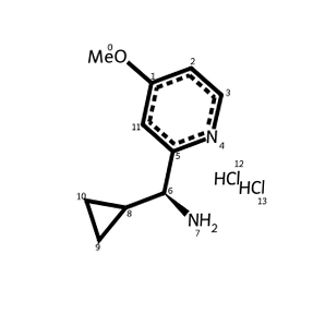 COc1ccnc([C@@H](N)C2CC2)c1.Cl.Cl